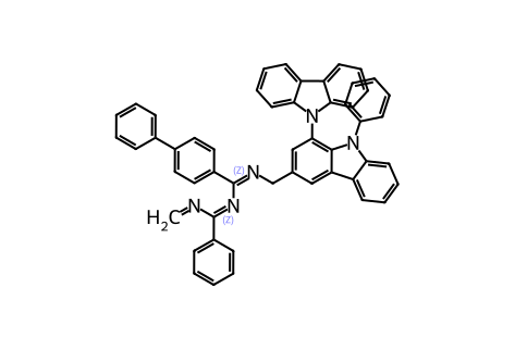 C=N/C(=N\C(=N/Cc1cc(-n2c3ccccc3c3ccccc32)c2c(c1)c1ccccc1n2-c1ccccc1)c1ccc(-c2ccccc2)cc1)c1ccccc1